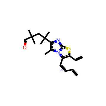 C=C/C=C\c1c(C=C)sc2nc(C(C)(C)CC(C)(C)C=O)c(C)n12